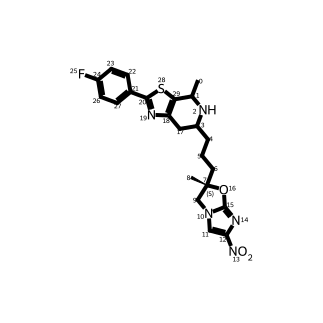 CC1NC(CCC[C@@]2(C)Cn3cc([N+](=O)[O-])nc3O2)Cc2nc(-c3ccc(F)cc3)sc21